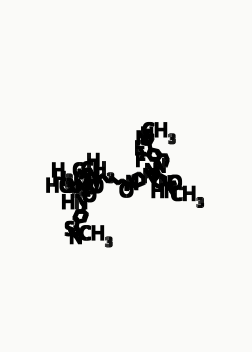 CNC(=O)N1CCc2c(c(N3CCCc4cc(-c5cnn(C)c5)c(C(F)F)cc43)nn2C2CCN(C(=O)CCCCCC(=O)N[C@H](C(=O)N3C[C@H](O)C[C@H]3C(=O)NCc3ccc(-c4scnc4C)cc3)C(C)(C)C)CC2)C1